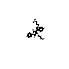 CN(C)CCCn1cc(C2=C(OCCCO)C(=O)N(c3ccccc3)C2=O)c2ccccc21